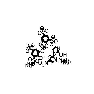 O=S(=O)([O-])c1cc([O][Sb]2[O]c3cc(S(=O)(=O)[O-])cc(S(=O)(=O)[O-])c3[O]2)c([O-])c(S(=O)(=O)[O-])c1.O=[N+]([O-])c1cnc(N2CCN=C2O)s1.[Na+].[Na+].[Na+].[Na+].[Na+]